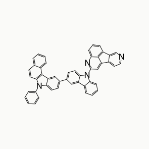 c1ccc(-n2c3ccc(-c4ccc5c(c4)c4ccccc4n5-c4cc5c6c(cccc6n4)-c4cnccc4-5)cc3c3c4ccccc4ccc32)cc1